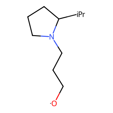 CC(C)C1CCCN1CCC[O]